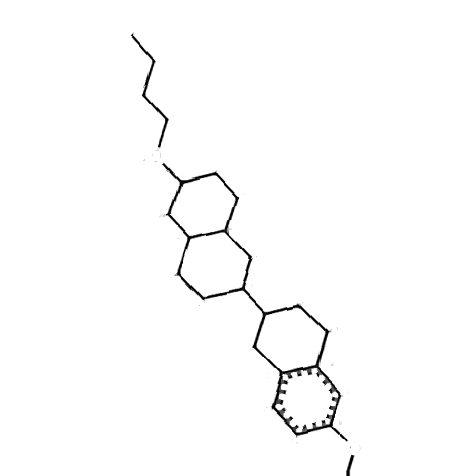 CCCCOC1CCC2CC(C3CCc4cc(OC)ccc4C3)CCC2C1